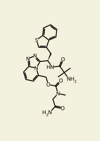 CN(CC(N)=O)C(=O)OCc1cccc2nnc([C@@H](Cc3csc4ccccc34)NC(=O)C(C)(C)N)n12